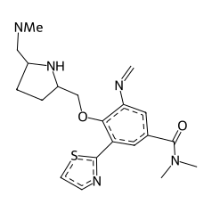 C=Nc1cc(C(=O)N(C)C)cc(-c2nccs2)c1OCC1CCC(CNC)N1